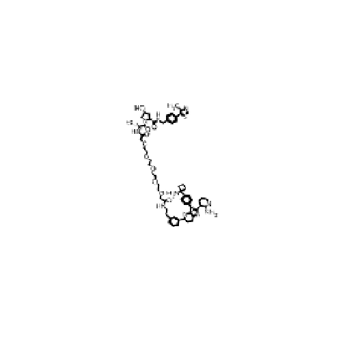 Cc1ncsc1-c1ccc(CNC(=O)[C@@H]2C[C@@H](O)CN2C(=O)[C@@H](NC(=O)COCCOCCOCCOCCOCC(=O)NCCc2cccc(-c3ccc4nc(-c5cccnc5N)n(-c5ccc(C6(N)CCC6)cc5)c4n3)c2)C(C)(C)C)cc1